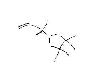 [2H]C([2H])(C=C)B1OC(C)(C)C(C)(C)O1